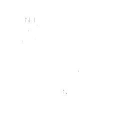 NC(=O)OCCC(=O)c1nc2ccccc2o1